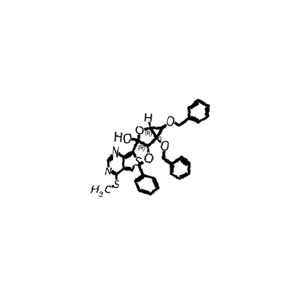 CSc1ncnc2c(C3(O)O[C@@H]4C(OCc5ccccc5)[C@]4(OCc4ccccc4)[C@H]3OCc3ccccc3)scc12